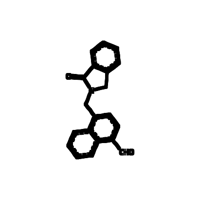 O=Cc1ccc(CN2Cc3ccccc3C2=O)c2ccccc12